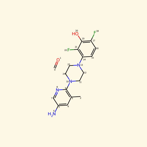 C=O.Cc1cc(N)cnc1N1CCN(c2ccc(F)c(O)c2F)CC1